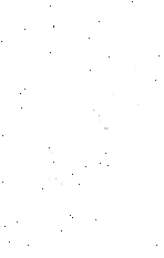 Clc1ccc(CCc2cc3ccc(Br)cc3[nH]2)cn1